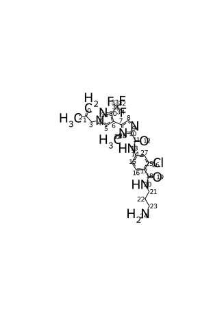 C=C(C)Cn1cc(-c2cnc(C(=O)Nc3ccc(C(=O)NCCCN)c(Cl)c3)n2C)c(C(F)(F)F)n1